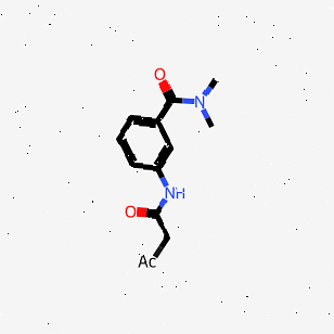 CC(=O)CC(=O)Nc1cccc(C(=O)N(C)C)c1